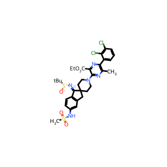 CCOC(=O)c1nc(-c2cccc(Cl)c2Cl)c(C)nc1N1CCC2(CC1)Cc1cc(NS(C)(=O)=O)ccc1/C2=N\[S+]([O-])C(C)(C)C